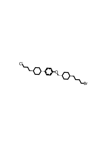 ClCCC[C@H]1CC[C@H](c2ccc(OC[C@H]3CC[C@H](CCCCBr)CC3)cc2)CC1